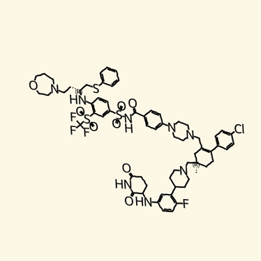 C[C@@]1(CN2CCC(c3cc(NC4CCC(=O)NC4=O)ccc3F)CC2)CCC(c2ccc(Cl)cc2)=C(CN2CCN(c3ccc(C(=O)NS(=O)(=O)c4ccc(N[C@H](CCN5CCCOCC5)CSc5ccccc5)c(S(=O)(=O)C(F)(F)F)c4)cc3)CC2)C1